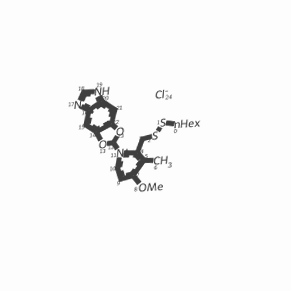 CCCCCCSSCc1c(C)c(OC)cc[n+]1C1Oc2cc3nc[nH]c3cc2O1.[Cl-]